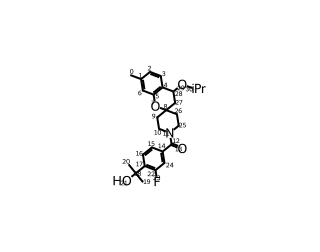 Cc1ccc2c(c1)OC1(CCN(C(=O)c3ccc(C(C)(C)O)c(F)c3)CC1)CC2OC(C)C